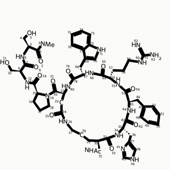 CNC(=O)[C@H](CO)NC(=O)[C@H](CO)NC(=O)[C@@H]1CCCN1C(=O)[C@@H]1CC(=O)NCCC[C@H](NC(C)=O)C(=O)N[C@@H](Cc2c[nH]cn2)C(=O)N[C@H](Cc2ccccc2)C(=O)N[C@@H](CCCNC(=N)N)C(=O)N[C@@H](Cc2c[nH]c3ccccc23)C(=O)N1